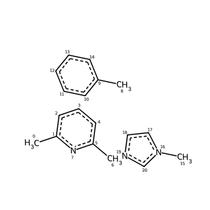 Cc1cccc(C)n1.Cc1ccccc1.Cn1ccnc1